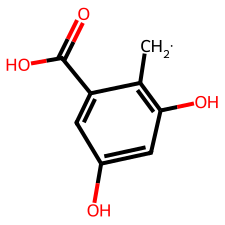 [CH2]c1c(O)cc(O)cc1C(=O)O